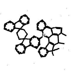 CC1C=CC2(C)C3=C1C(C)C1=C(c4ccccc4C1(C)C)C3(C)N(c1ccc3c(c1)C1(CCC4(CC1)c1ccccc1-c1ccccc14)c1ccccc1-3)c1ccccc12